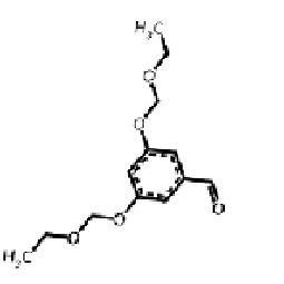 CCOCOc1cc(C=O)cc(OCOCC)c1